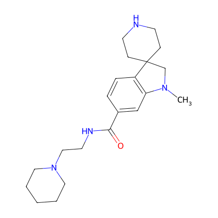 CN1CC2(CCNCC2)c2ccc(C(=O)NCCN3CCCCC3)cc21